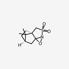 CC1(C)[C@@H]2CC[C@@]13CS(=O)(=O)N1OC13C2